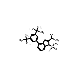 CC(C)C1=Cc2c(-c3cc(C(C)(C)C)cc(C(C)(C)C)c3)cccc2C1[Si](C)(C)Cl